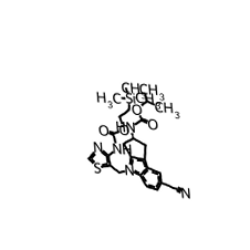 CC(C)OC(=O)N[C@H]1Cc2c(n(Cc3scnc3NC(=O)OCC[Si](C)(C)C)c3ccc(C#N)cc23)C1